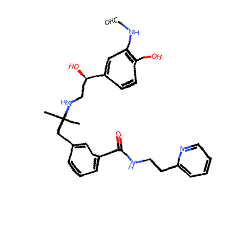 CC(C)(Cc1cccc(C(=O)NCCc2ccccn2)c1)NC[C@@H](O)c1ccc(O)c(NC=O)c1